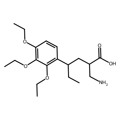 CCOc1ccc(C(CC)CC(CN)C(=O)O)c(OCC)c1OCC